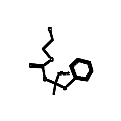 CCCCCC(C)(Oc1ccccc1)OS(=O)OCCCl